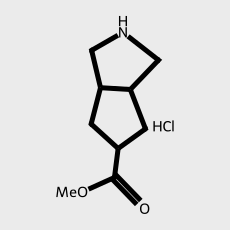 COC(=O)C1CC2CNCC2C1.Cl